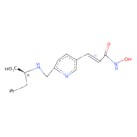 CC(C)C[C@H](NCc1ccc(/C=C/C(=O)NO)cn1)C(=O)O